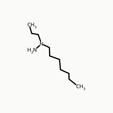 CCCCCCCN(N)CCC